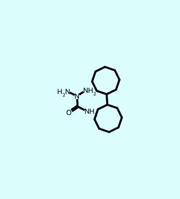 C1CCCC(C2CCCCCCC2)CCC1.NC(=O)N(N)N